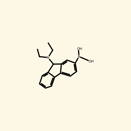 CCN(CC)C1c2ccccc2-c2ccc(B(O)O)cc21